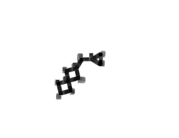 [CH](C1CC1)C1CC2(CCC2)C1